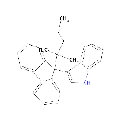 CCCC(C)(C)C1(c2c[nH]c3ccccc23)c2ccccc2-c2ccccc21